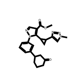 COC(=O)c1cnn(-c2cccc(C3CCCC(=O)C3)c2)c1C1CC1c1cn(C)nn1